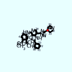 CO[C@@H]1OC(C)(C)c2cc(Nc3cc(N[C@H](CO)c4ccccc4)c(-c4nc(C56CCN(CC5)CC6)no4)cn3)ccc21